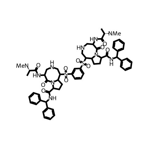 CN[C@@H](C)C(=O)NC1CNCC(S(=O)(=O)c2cccc(S(=O)(=O)C3CNCC(NC(=O)[C@H](C)NC)C(=O)N4C(C(=O)NC(c5ccccc5)c5ccccc5)CCC34)c2)C2CCC(C(=O)NC(c3ccccc3)c3ccccc3)N2C1=O